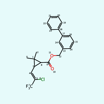 CC1(C)C(C=C(Cl)C(F)(F)F)C1C(=O)OCc1cccc(-c2ccccc2)c1